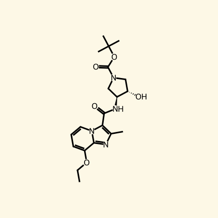 CCOc1cccn2c(C(=O)N[C@H]3CN(C(=O)OC(C)(C)C)C[C@@H]3O)c(C)nc12